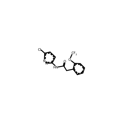 O=C(Cc1ccccc1OC(F)(F)F)Nc1ccc(Cl)nn1